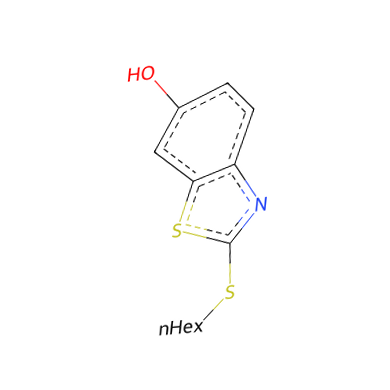 CCCCCCSc1nc2ccc(O)cc2s1